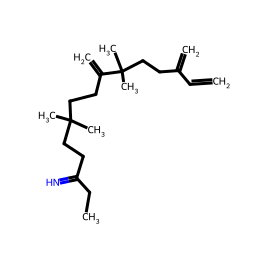 C=CC(=C)CCC(C)(C)C(=C)CCC(C)(C)CCC(=N)CC